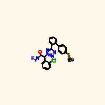 CC(C)(C)Sc1ccc(-c2ccccc2-c2nnn(C(C(N)=O)c3ccccc3Cl)n2)cc1